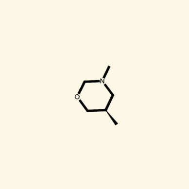 C[C@H]1COCN(C)C1